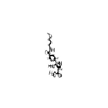 COCCCNC(=O)c1ccc(-n2ncc(C(=O)O)c2O)nc1